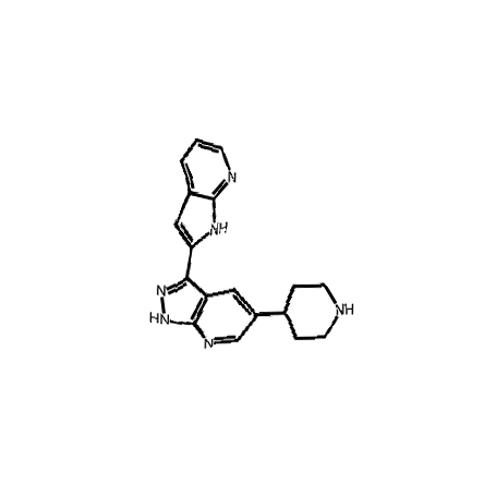 c1cnc2[nH]c(-c3n[nH]c4ncc(C5CCNCC5)cc34)cc2c1